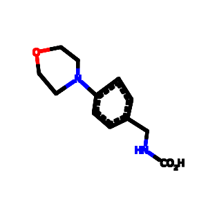 O=C(O)NCc1ccc(N2CCOCC2)cc1